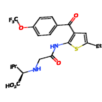 CCc1cc(C(=O)c2ccc(OC(F)(F)F)cc2)c(NC(=O)CN[C@@H](C(=O)O)C(C)C)s1